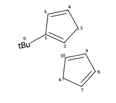 CC(C)(C)C1=C[CH]C=C1.[CH]1C=CC=C1